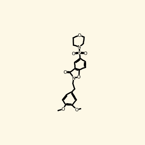 COc1ccc(CCn2oc3ccc(S(=O)(=O)N4CCOCC4)cc3c2=O)cc1OC